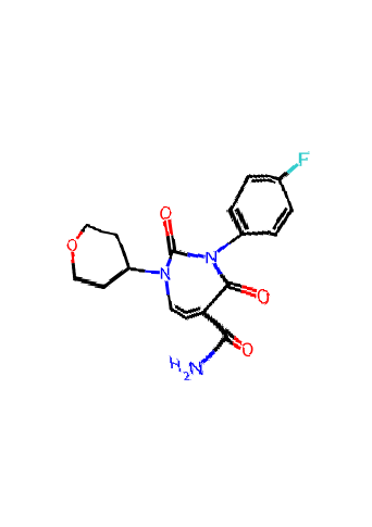 NC(=O)c1cn(C2CCOCC2)c(=O)n(-c2ccc(F)cc2)c1=O